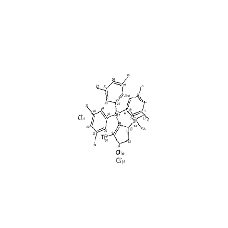 Cc1cc(C)cc([Si](C2=[C]([Ti+3])CC=C2[Si](C)(C)C)(c2cc(C)cc(C)c2)c2cc(C)cc(C)c2)c1.[Cl-].[Cl-].[Cl-]